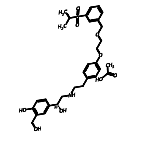 CC(=O)O.CC(C)S(=O)(=O)c1cccc(COCCOc2ccc(CCNC[C@H](O)c3ccc(O)c(CO)c3)cc2)c1